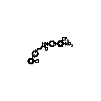 O=C(CCCN1CCN(c2ccccc2Cl)CC1)NC1CCN(c2ccc([N+](=O)[O-])c(C(F)(F)F)c2)CC1